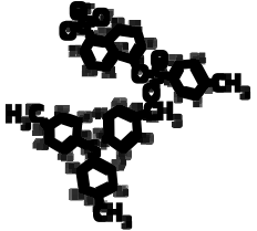 Cc1ccc(S(=O)(=O)Oc2cccc3c(S(=O)(=O)[O-])cccc23)cc1.Cc1ccc([S+](c2ccc(C)cc2)c2ccc(C)cc2)cc1